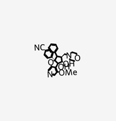 COc1cncc2c1[C@]1(O)[C@H](O)[C@H](CN3CCOCC3)C(c3ccccc3)[C@]1(c1ccc(C#N)cc1)O2